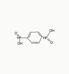 O=[PH](O)c1ccc([PH](=O)O)cc1